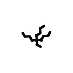 C[CH][Si](OCCC)(OCCC)OCCC